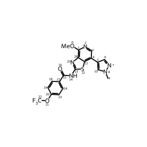 COc1ncc(-c2cnn(C)c2)c2sc(NC(=O)c3ccc(OC(F)(F)F)cc3)nc12